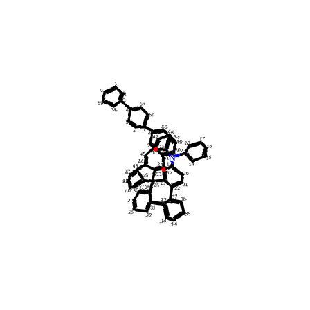 c1ccc(-c2ccc(-c3ccc(N(c4ccccc4)c4ccc5c(c4)C4(c6ccccc6-c6ccccc6-5)c5ccccc5-c5cc6ccccc6cc54)cc3)cc2)cc1